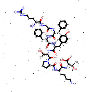 C[C@@H](O)[C@H](NC(=O)[C@H](CCCCN)NC(=O)[C@@H]1CCCN1C(=O)[C@@H](NC(=O)[C@H](Cc1ccc(O)cc1)NC(=O)[C@H](Cc1ccccc1)NC(=O)[C@H](Cc1ccccc1)NC(=O)CNC(=O)[C@@H](N)CCCNC(=N)N)[C@@H](C)O)C(=O)O